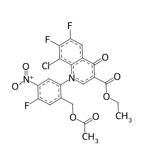 CCOC(=O)c1cn(-c2cc([N+](=O)[O-])c(F)cc2COC(C)=O)c2c(Cl)c(F)c(F)cc2c1=O